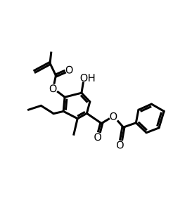 C=C(C)C(=O)Oc1c(O)cc(C(=O)OC(=O)c2ccccc2)c(C)c1CCC